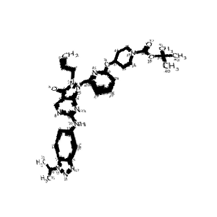 C=CCn1c(=O)c2cnc(Nc3ccc4c(c3)nnn4C(C)C)nc2n1-c1cccc(OC2CCN(C(=O)OC(C)(C)C)CC2)n1